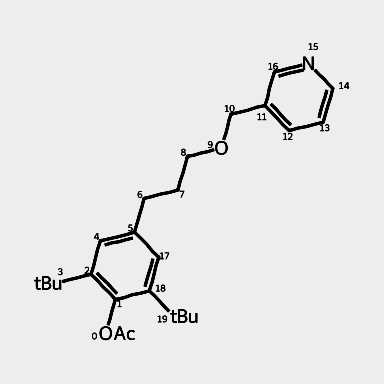 CC(=O)Oc1c(C(C)(C)C)cc(CCCOCc2cccnc2)cc1C(C)(C)C